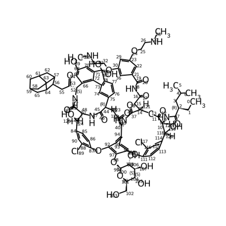 CC[C@H](CC(C)C)C(=O)N[C@H]1C(=O)C[C@@H](CC(=O)NC(=O)c2cc(OCCNC)cc(OCCNC)c2)C(=O)N[C@H]2C(=O)C[C@H]3C(=O)N[C@H](C(=O)N[C@H](C(=O)CC4C5CC6CC(C5)CC4C6)c4cc(O)cc5c4-c4cc3ccc4C5(O)O)[C@H](O)c3ccc(c(Cl)c3)Oc3cc2cc(c3O[C@@H]2O[C@H](CO)[C@@H](O)[C@H](O)[C@H]2O)Oc2ccc(cc2Cl)[C@H]1O